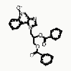 O=C(OCC(Cn1cnc2c[n+]([O-])c3ccccc3c21)OC(=O)c1ccccc1)c1ccccc1